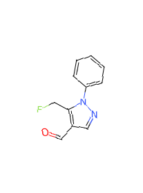 O=Cc1cnn(-c2ccccc2)c1CF